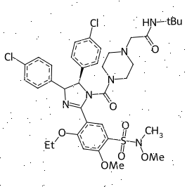 CCOc1cc(OC)c(S(=O)(=O)N(C)OC)cc1C1=NC(c2ccc(Cl)cc2)[C@@H](c2ccc(Cl)cc2)N1C(=O)N1CCN(CC(=O)NC(C)(C)C)CC1